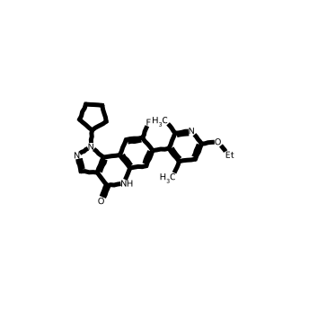 CCOc1cc(C)c(-c2cc3[nH]c(=O)c4cnn(C5CCCC5)c4c3cc2F)c(C)n1